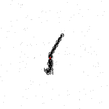 O=CCCOCCOCCOCCOCCOCCOc1ccc(C2CCN(S(=O)(=O)c3ccc(C(=O)NCC(=O)O)cc3)CC2)cc1